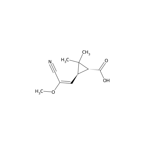 CO/C(C#N)=C/[C@@H]1[C@@H](C(=O)O)C1(C)C